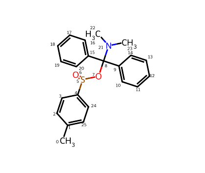 Cc1ccc(S(=O)OC(c2ccccc2)(c2ccccc2)N(C)C)cc1